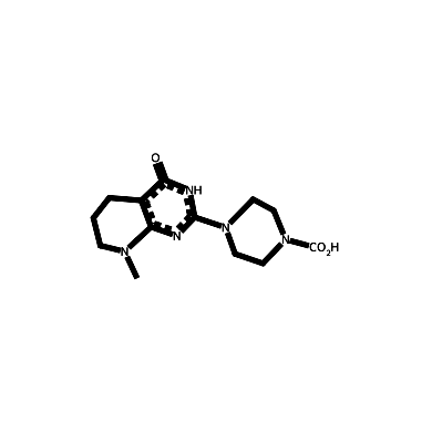 CN1CCCc2c1nc(N1CCN(C(=O)O)CC1)[nH]c2=O